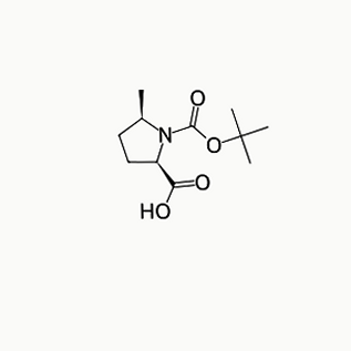 C[C@@H]1CC[C@H](C(=O)O)N1C(=O)OC(C)(C)C